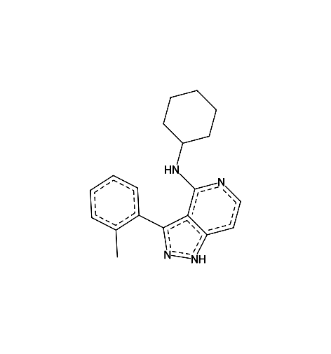 Cc1ccccc1-c1n[nH]c2ccnc(NC3CCCCC3)c12